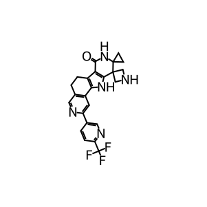 O=C1NC2(CC2)C2(CNC2)c2[nH]c3c(c21)CCc1cnc(-c2ccc(C(F)(F)F)nc2)cc1-3